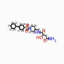 NC(=O)CC(O)C(=O)NCC1CCN(S(=O)(=O)c2ccc(-c3ccccc3)cc2)CC1